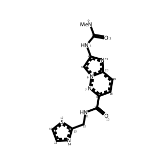 CNC(=O)Nc1cn2nc(C(=O)NCc3nccs3)ccc2n1